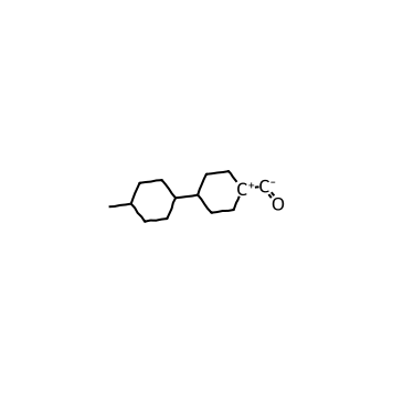 CC1CCC(C2CC[C+]([C-]=O)CC2)CC1